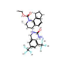 CCOC(=O)N1c2c(ccc3c2CCC3)[C@H](N(Cc2cc(C(F)(F)F)cc(C(F)(F)F)c2)C(N)=O)C[C@@H]1C